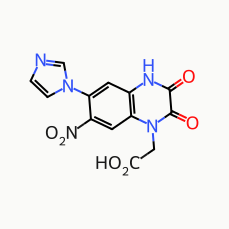 O=C(O)Cn1c(=O)c(=O)[nH]c2cc(-n3ccnc3)c([N+](=O)[O-])cc21